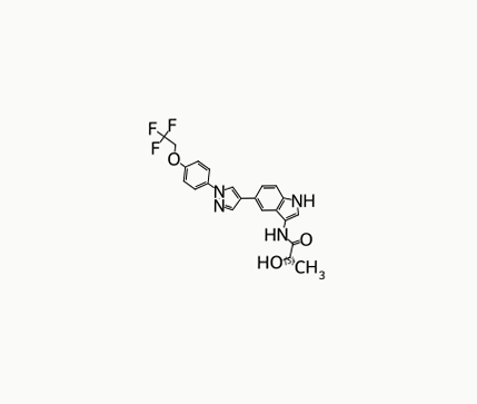 C[C@H](O)C(=O)Nc1c[nH]c2ccc(-c3cnn(-c4ccc(OCC(F)(F)F)cc4)c3)cc12